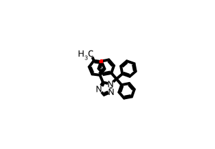 Cc1ccc(-c2ncnn2C(c2ccccc2)(c2ccccc2)c2ccccc2)cc1